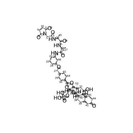 C[C@H](NC(=O)CN1C(=O)C=CC1=O)C(=O)N[C@@H](C)C(=O)Nc1cccc(OCc2ccc([C@@H]3O[C@@H]4C[C@H]5[C@@H]6CCC7=CC(=O)C=C[C@]7(C)[C@H]6[C@@H](O)C[C@]5(C)[C@]4(C(=O)COP(=O)(O)O)O3)cc2)c1